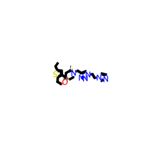 CCc1cc2c(s1)CCO[C@@]21CCN(Cc2cn(CCn3ccnc3)nn2)[C@@H](C)C1